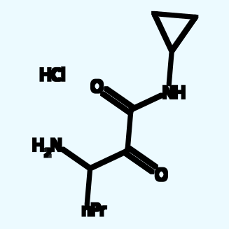 CCCC(N)C(=O)C(=O)NC1CC1.Cl